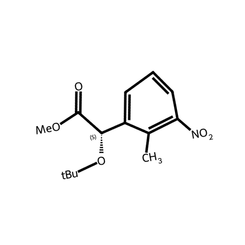 COC(=O)[C@@H](OC(C)(C)C)c1cccc([N+](=O)[O-])c1C